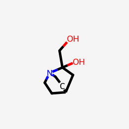 OCC1(O)CC2CCN1CC2